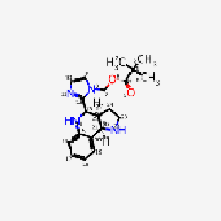 CC(C)(C)C(=O)OCn1ccnc1C1Nc2ccccc2[C@@H]2NCC[C@H]12